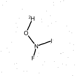 [2H]ON(F)I